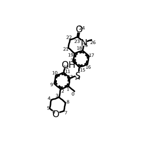 Cc1c(C2CCOCC2)ccc(O)c1Sc1ccc2c(c1)CCC(=O)N2C